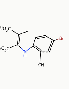 CC(C(=O)O)=C(Nc1ccc(Br)cc1C#N)C(=O)O